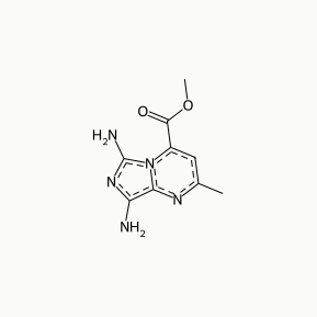 COC(=O)c1cc(C)nc2c(N)nc(N)n12